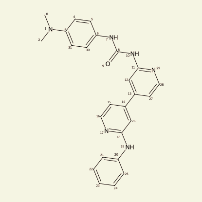 CN(C)c1ccc(NC(=O)Nc2cc(-c3ccnc(Nc4ccccc4)c3)ccn2)cc1